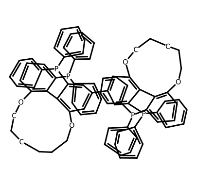 c1ccc(P(c2ccccc2)c2cccc3c2-c2c(cc(-c4cc5c(c(P(c6ccccc6)c6ccccc6)c4)-c4c(cccc4P(c4ccccc4)c4ccccc4)OCCCCCO5)cc2P(c2ccccc2)c2ccccc2)OCCCCCCO3)cc1